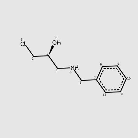 O[C@H](CCl)CNCc1ccccc1